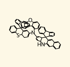 C1=CC2Nc3cc4ccccc4cc3C3(c4ccccc4-c4ccccc43)C2C=C1N(C1=CCC2Sc3ccccc3C3(C2=C1)c1ccccc1-c1ccccc13)c1cccc2oc3ccccc3c12